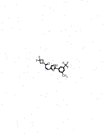 Cc1cc(-c2nc(/C=C\C(=O)N3CC(F)(F)C3)c[nH]2)cc(C(F)(F)F)c1